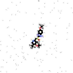 [2H]C([2H])([2H])Oc1ccc2[nH]c([S+]([O-])Cc3ncc(C([2H])([2H])[2H])c(OC([2H])([2H])[2H])c3C)nc2c1